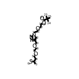 CSC(C)CCOCCOCc1cn(CCOCCOC(=O)C(C)(C)C)nn1